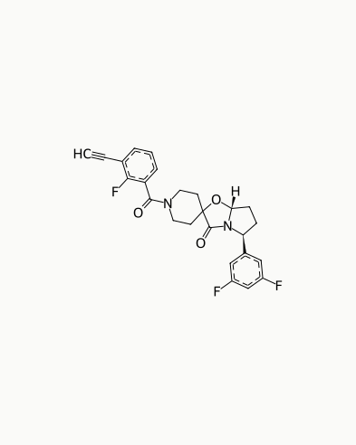 C#Cc1cccc(C(=O)N2CCC3(CC2)O[C@@H]2CC[C@@H](c4cc(F)cc(F)c4)N2C3=O)c1F